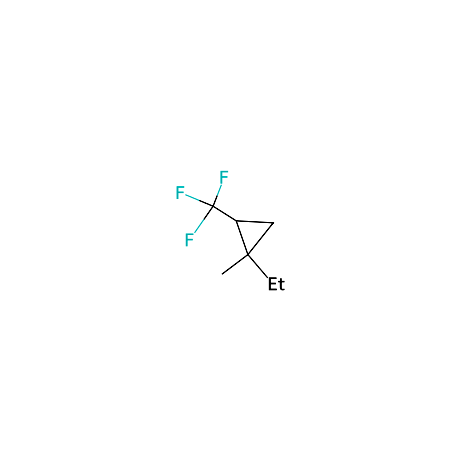 CCC1(C)CC1C(F)(F)F